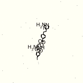 Nc1nccc(CCc2ccc(C(=O)OC(=O)C[C@@H](N)NS(=O)(=O)c3ccc(I)cc3)cc2)n1